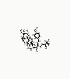 CC[C@@]1(O)CC[C@@]2(C)[C@H](CC[C@@H]3[C@@H]2CC[C@]2(C)[C@@H]([C@H](C)C(CCC(=O)C(F)(F)F)OCc4ccc(OC)cc4)CC[C@@H]32)C1